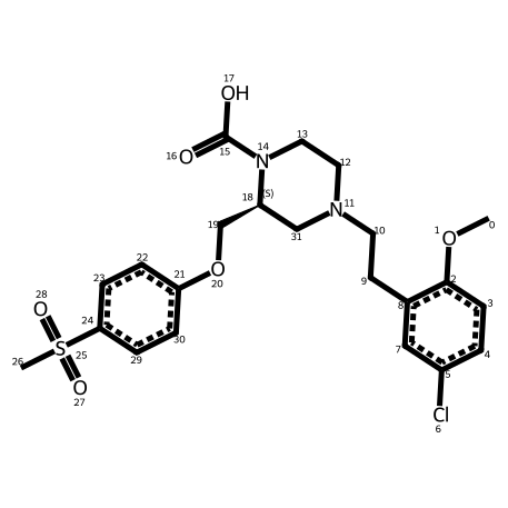 COc1ccc(Cl)cc1CCN1CCN(C(=O)O)[C@H](COc2ccc(S(C)(=O)=O)cc2)C1